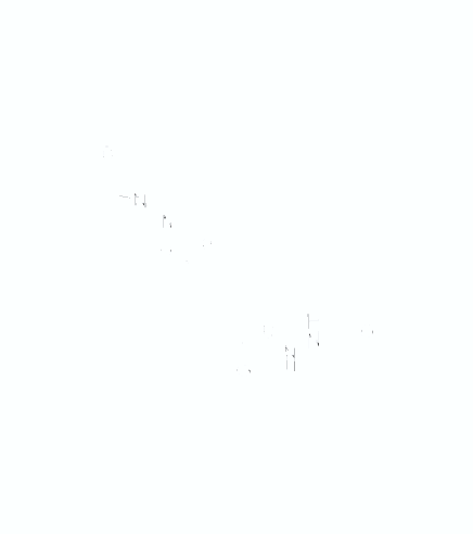 O=CNNOC(=O)c1cccc(C(=O)ONNC=O)c1